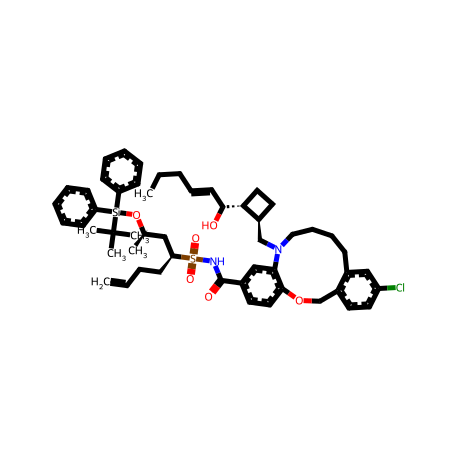 C=CCC[C@@H](C[C@@H](C)O[Si](c1ccccc1)(c1ccccc1)C(C)(C)C)S(=O)(=O)NC(=O)c1ccc2c(c1)N(C[C@@H]1CC[C@H]1C(O)/C=C/CCC)CCCCc1cc(Cl)ccc1CO2